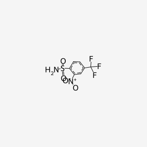 NS(=O)(=O)c1ccc(C(F)(F)F)cc1[N+](=O)[O-]